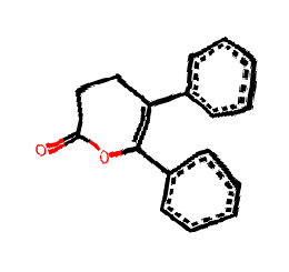 O=C1CCC(c2ccccc2)=C(c2ccccc2)O1